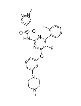 Cc1ccccc1-c1nc(NS(=O)(=O)c2cnn(C)c2)nc(Oc2cccc(N3CCN(C)CC3)c2)c1F